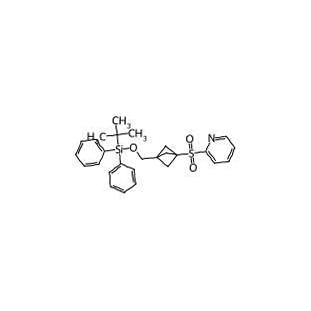 CC(C)(C)[Si](OCC12CC(S(=O)(=O)c3ccccn3)(C1)C2)(c1ccccc1)c1ccccc1